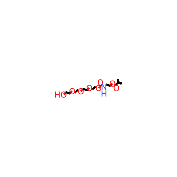 C=C(C)C(=O)OCCNC(=O)OCCOCCOCCOCCO